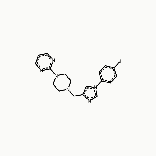 Ic1ccc(-n2cnc(CN3CCN(c4ncccn4)CC3)c2)cc1